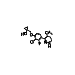 CC1CCNN=C1c1ccc(OCC2(O)CC2)c(Cl)c1F